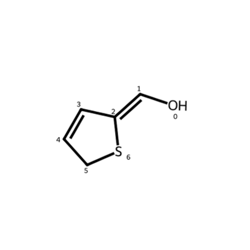 O/C=C1/C=CCS1